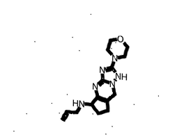 C=CCNC1CCC2=C1N=C1N=C(N3CCOCC3)NN1C2